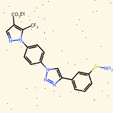 CCOC(=O)c1cnn(-c2ccc(-n3cc(-c4cccc(SN)c4)nn3)cc2)c1C(F)(F)F